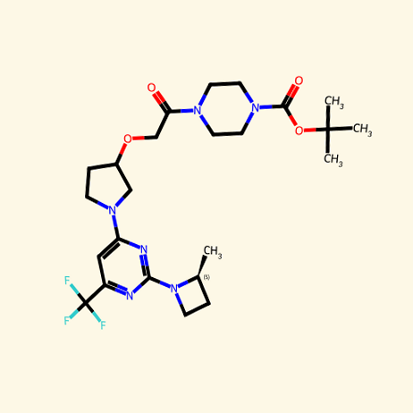 C[C@H]1CCN1c1nc(N2CCC(OCC(=O)N3CCN(C(=O)OC(C)(C)C)CC3)C2)cc(C(F)(F)F)n1